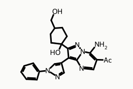 CC(=O)c1cnc2c(-c3cnn(-c4ccccc4)c3)c(C3(O)CCC(CO)CC3)nn2c1N